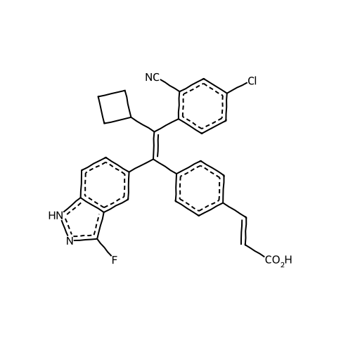 N#Cc1cc(Cl)ccc1/C(=C(\c1ccc(/C=C/C(=O)O)cc1)c1ccc2[nH]nc(F)c2c1)C1CCC1